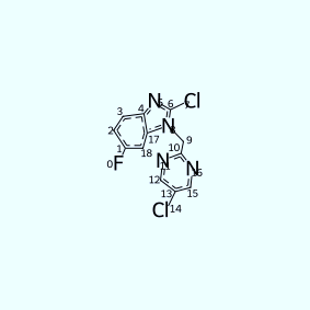 Fc1ccc2nc(Cl)n(Cc3ncc(Cl)cn3)c2c1